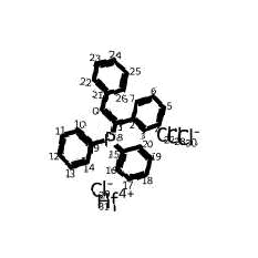 C(=C(c1ccccc1)P(c1ccccc1)c1ccccc1)c1ccccc1.[Cl-].[Cl-].[Cl-].[Cl-].[Hf+4]